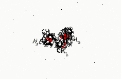 COc1ccc(CN(Cc2ccc(OC)cc2)c2cc(C)c(C(F)(F)F)c(-c3c(Cl)c4c5c(nc(Cl)nc5c3F)N([C@H](C)c3cccnc3NC(=O)OC(C)(C)C)CCO4)n2)cc1